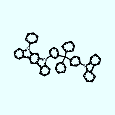 c1ccc(-n2c3ccccc3c3cc4c5ccccc5n(-c5cccc(C(c6ccccc6)(c6ccccc6)c6ccc(-n7c8ccccc8c8ccccc87)cc6)c5)c4cc32)cc1